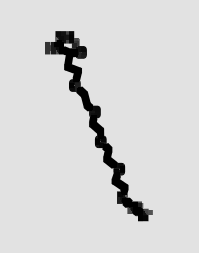 [N-]=[N+]=NCCOCCOCCOCCOCCC(=O)NN